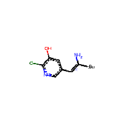 CC(C)(C)/C(N)=C/c1cnc(Cl)c(O)c1